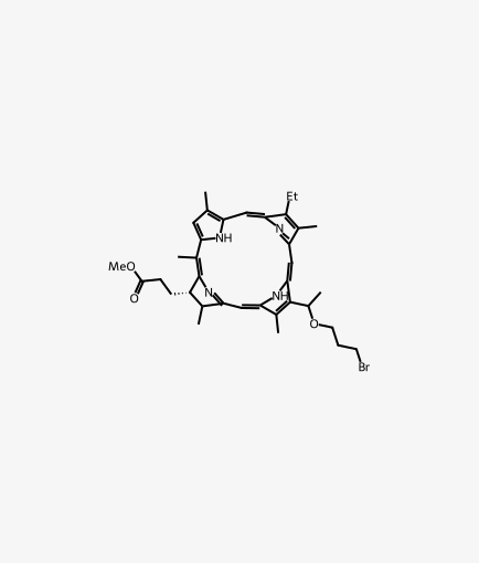 CCC1=C(C)c2cc3[nH]c(cc4nc(c(C)c5cc(C)c(cc1n2)[nH]5)[C@@H](CCC(=O)OC)C4C)c(C)c3C(C)OCCCBr